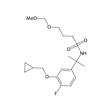 COCOCCCS(=O)(=O)NC(C)(C)c1ccc(F)c(OCC2CC2)c1